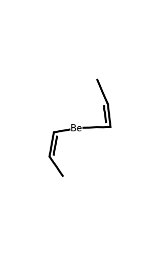 C/C=[CH]\[Be]/[CH]=C\C